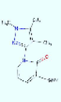 CNc1cccn(-c2nn(C)c(C)c2C)c1=O